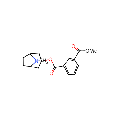 COC(=O)c1cccc(C(=O)OC2CC3CCC(C2)N3C)c1